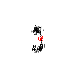 CC(=O)[C@H]1CC[C@H]2[C@@H]3CC[C@H]4C[C@H](CCCCOC(=O)OCCCC[C@@H]5CC[C@@]6(C)[C@@H](CC[C@@H]7[C@@H]6CC[C@]6(C)[C@@H](C(C)=O)CC[C@@H]76)C5)CC[C@]4(C)[C@H]3CC[C@]12C